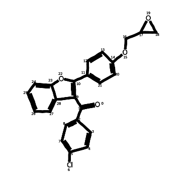 O=C(c1ccc(Cl)cc1)c1c(-c2ccc(OCC3CO3)cc2)oc2ccccc12